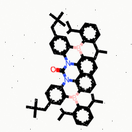 CC(C)c1cccc(C(C)C)c1B1c2cc(CC(C)(C)C)ccc2N2C(=O)N3c4ccc(CC(C)(C)C)cc4B(c4c(C(C)C)cccc4C(C)C)c4ccc5ccc1c2c5c43